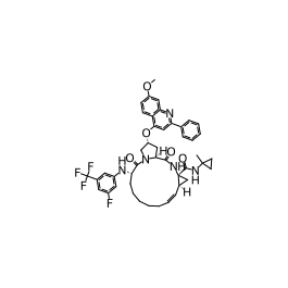 COc1ccc2c(O[C@@H]3C[C@H]4C(=O)N[C@]5(C(=O)NC6(C)CC6)C[C@H]5/C=C\CCCCC[C@H](Nc5cc(F)cc(C(F)(F)F)c5)C(=O)N4C3)cc(-c3ccccc3)nc2c1